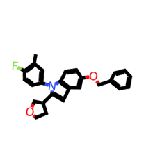 Cc1cc(-n2c(C3CCOC3)cc3cc(OCc4ccccc4)ccc32)ccc1F